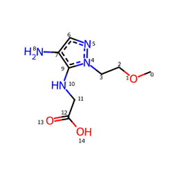 COCCn1ncc(N)c1NCC(=O)O